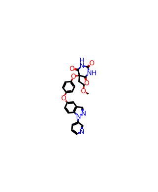 COCCC1(Oc2ccc(Oc3ccc4c(cnn4-c4cccnc4)c3)cc2)C(=O)NC(=O)NC1=O